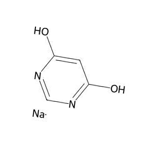 Oc1cc(O)ncn1.[Na]